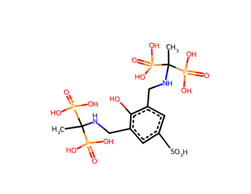 CC(NCc1cc(S(=O)(=O)O)cc(CNC(C)(P(=O)(O)O)P(=O)(O)O)c1O)(P(=O)(O)O)P(=O)(O)O